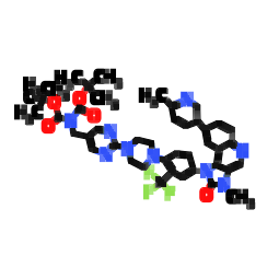 Cc1ccc(-c2ccc3ncc4c(c3c2)n(-c2ccc(N3CCN(c5ncc(CN(C(=O)OC(C)(C)C)C(=O)OC(C)(C)C)cn5)CC3)c(C(F)(F)F)c2)c(=O)n4C)cn1